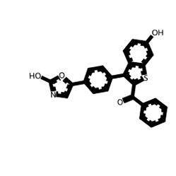 O=C(c1ccccc1)c1sc2cc(O)ccc2c1-c1ccc(-c2cnc(O)o2)cc1